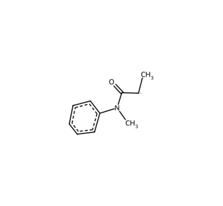 C[CH]C(=O)N(C)c1ccccc1